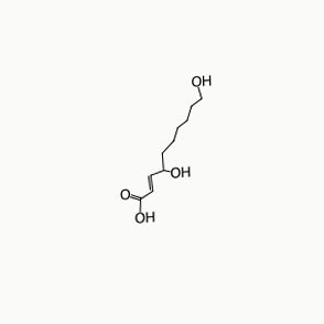 O=C(O)C=CC(O)CCCCCCO